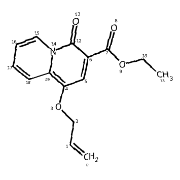 C=CCOc1cc(C(=O)OCC)c(=O)n2ccccc12